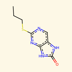 CCCSc1ncc2[nH]c(=O)[nH]c2n1